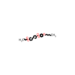 C/C=C/C(=O)O[C@H]1CC[C@H]([C@H]2CC[C@H](C(=O)Oc3ccc(OCCCCCC)cc3)CC2)CC1